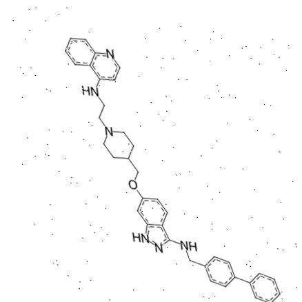 c1ccc(-c2ccc(CNc3n[nH]c4cc(OCC5CCN(CCNc6ccnc7ccccc67)CC5)ccc34)cc2)cc1